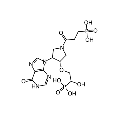 O=C(CCP(=O)(O)O)N1CC(n2cnc3c(=O)[nH]cnc32)[C@@H](OCC(O)P(=O)(O)O)C1